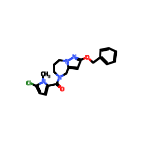 Cn1c(Cl)ccc1C(=O)N1CCCn2nc(OCc3ccccc3)cc2C1